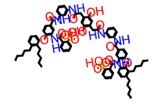 CCCCCc1cccc(Oc2ccc(C(=O)Nc3cccc(NC(=O)Cc4cc(O)c(CC(=O)Nc5cccc(NC(=O)c6ccc(Oc7cccc(CCCCC)c7CCCCC)c(NC(=O)c7ccccc7S(=O)(=O)O)c6)c5)cc4O)c3)cc2NC(=O)c2ccccc2S(=O)(=O)O)c1CCCCC